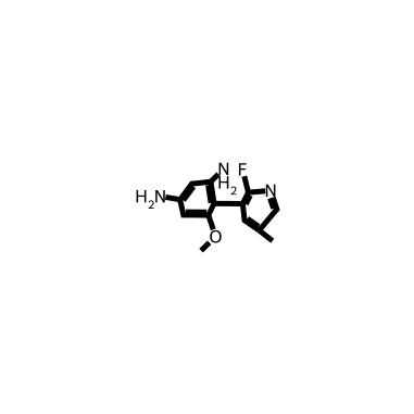 COc1cc(N)cc(N)c1-c1cc(C)cnc1F